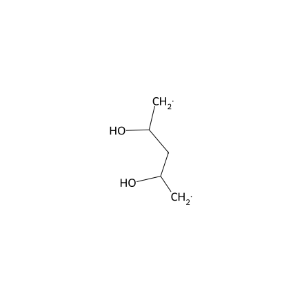 [CH2]C(O)CC([CH2])O